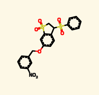 O=[N+]([O-])c1cccc(COc2ccc3c(c2)S(=O)(=O)CC3S(=O)(=O)c2ccccc2)c1